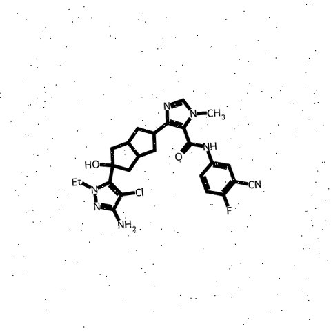 CCn1nc(N)c(Cl)c1C1(O)CC2CC(c3ncn(C)c3C(=O)Nc3ccc(F)c(C#N)c3)CC2C1